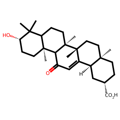 CC1(C)C2CC[C@]3(C)C(C(=O)C=C4[C@@H]5C[C@@H](C(=O)O)CC[C@]5(C)CC[C@]43C)[C@@]2(C)CC[C@@H]1O